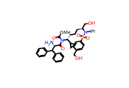 COC(=O)N(C(=O)[C@@H](N)C(c1ccccc1)c1ccccc1)[C@H](CCC[C@@H](CO)N(C(C)C)S(=O)(=O)c1ccc(CO)cc1)C1CC1